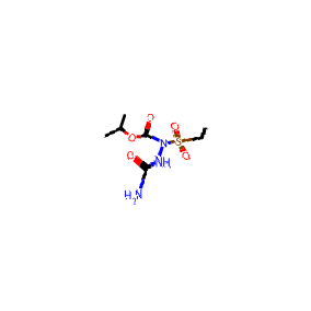 CCS(=O)(=O)N(NC(N)=O)C(=O)OC(C)C